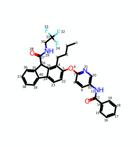 CCCCc1c(Oc2ccc(NC(=O)c3ccccc3)cn2)ccc2c1C(C(=O)NCC(F)(F)F)c1ccccc1-2